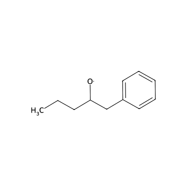 CCCC([O])Cc1ccccc1